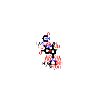 BC(O)(Nc1cccc(C=O)c1C(O)(O)N(C)C1CCC(=O)NC1=O)c1ccc(C(O)(O)N2C(O)(O)C(B)(B)OC(O)(O)C2(O)O)cc1F